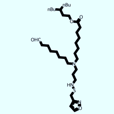 CCCCC(CCCC)CCOC(=O)CCCCCCCN(CCCCCCCC=O)CCCNSCc1ccon1